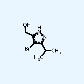 CC(C)c1n[nH]c(CO)c1Br